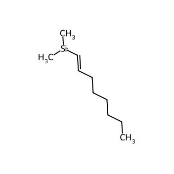 CCCCCC/C=C/[Si](C)C